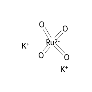 [K+].[K+].[O]=[Ru-2](=[O])(=[O])=[O]